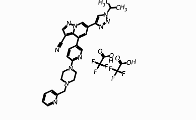 CC(C)n1cc(-c2cc(-c3ccc(N4CCN(Cc5ccccn5)CC4)nc3)c3c(C#N)cnn3c2)nn1.O=C(O)C(F)(F)F.O=C(O)C(F)(F)F